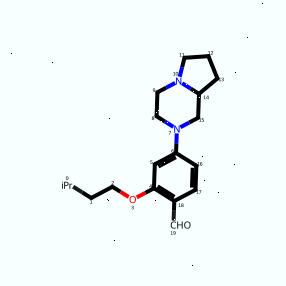 CC(C)CCOc1cc(N2CCN3CCCC3C2)ccc1C=O